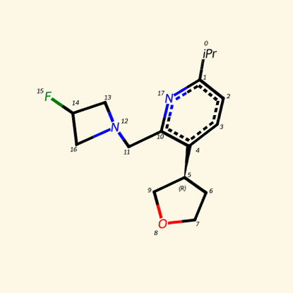 CC(C)c1ccc([C@H]2CCOC2)c(CN2CC(F)C2)n1